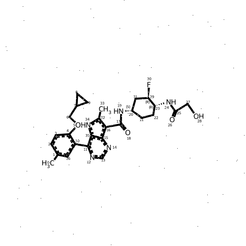 Cc1ccc(OCC2CC2)c(-c2ncnc3c(C(=O)N[C@H]4CC[C@@H](NC(=O)CO)[C@H](F)C4)c(C)[nH]c23)c1